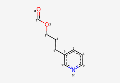 O=COCCCc1cccnc1